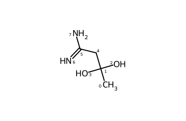 CC(O)(O)CC(=N)N